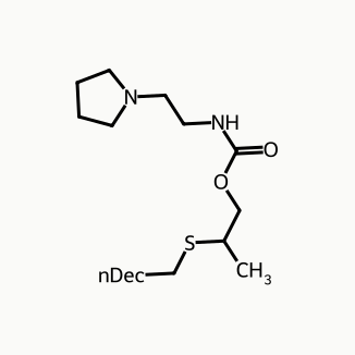 CCCCCCCCCCCSC(C)COC(=O)NCCN1CCCC1